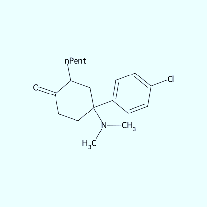 CCCCCC1CC(c2ccc(Cl)cc2)(N(C)C)CCC1=O